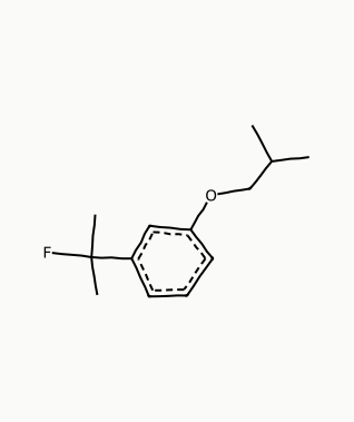 CC(C)COc1cccc(C(C)(C)F)c1